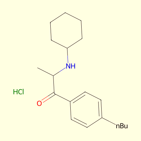 CCCCc1ccc(C(=O)C(C)NC2CCCCC2)cc1.Cl